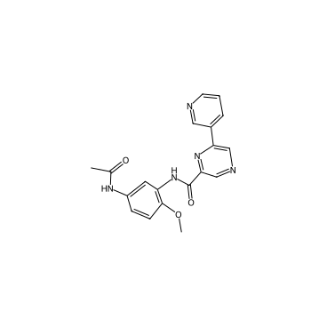 COc1ccc(NC(C)=O)cc1NC(=O)c1cncc(-c2cccnc2)n1